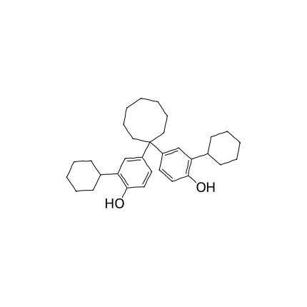 Oc1ccc(C2(c3ccc(O)c(C4CCCCC4)c3)CCCCCCC2)cc1C1CCCCC1